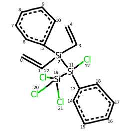 C=C[Si](C=C)(c1ccccc1)[Si](Cl)(c1ccccc1)[Si](Cl)(Cl)Cl